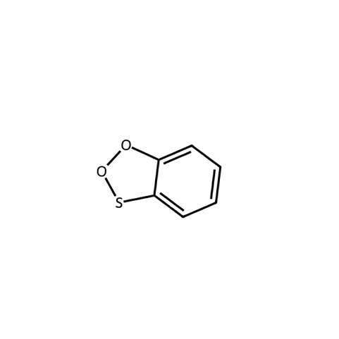 c1ccc2c(c1)OOS2